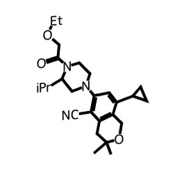 CCOCC(=O)N1CCN(c2cc(C3CC3)c3c(c2C#N)CC(C)(C)OC3)CC1C(C)C